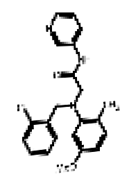 COc1ccc(C)c(N(CC(=O)Nc2cccnc2)Cc2ccccc2Cl)c1